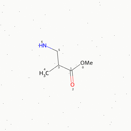 COC(=O)C(C)C[NH]